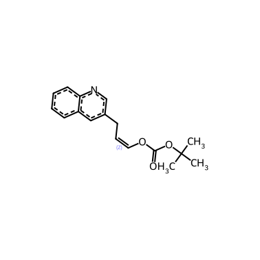 CC(C)(C)OC(=O)O/C=C\Cc1cnc2ccccc2c1